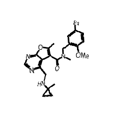 CCc1ccc(OC)c(CN(C)C(=O)c2c(C)oc3ncnc(CNC4(C)CC4)c23)c1